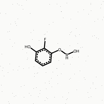 OBOc1cccc(O)c1F